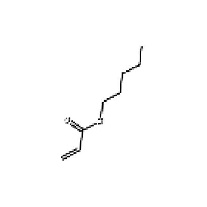 [CH2]CCC[CH]OC(=O)C=C